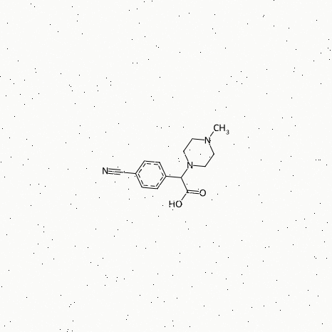 CN1CCN(C(C(=O)O)c2ccc(C#N)cc2)CC1